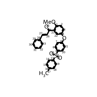 COc1ccc(Oc2ccc(S(=O)(=O)c3ccc(C)cc3)cc2)cc1C(=O)/C=C/c1ccccc1